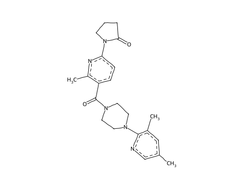 Cc1cnc(N2CCN(C(=O)c3ccc(N4CCCC4=O)nc3C)CC2)c(C)c1